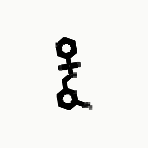 Nc1cccc(CNS(=O)(=O)c2cccnc2)n1